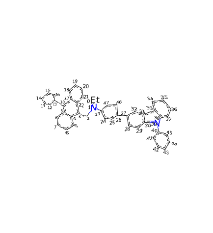 CCN(Cc1c2ccccc2c(-c2ccccc2)c2ccccc12)c1ccc(-c2ccc3c(c2)c2ccccc2n3-c2ccccc2)cc1